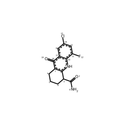 NC(=O)C1CCCc2c1[nH]c1c(F)cc(Cl)cc1c2=O